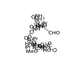 CCC(C)C(C(CC(=O)N1CCCC1C(OC)C(C)C(=O)NC(C)C(O)c1ccccc1)OC)N(C)C(=O)C(NC(=O)C(C(C)C)N(C)C(=O)OCc1ccc(NC(=O)C(CCCNC(N)=O)NC(=O)C(NC(=O)CCCCC=O)C(C)C)cc1)C(C)C